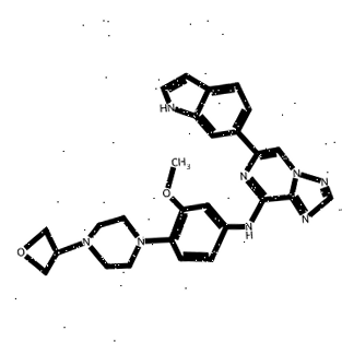 COc1cc(Nc2nc(-c3ccc4cc[nH]c4c3)cn3ncnc23)ccc1N1CCN(C2COC2)CC1